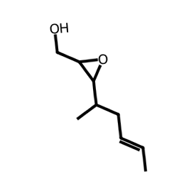 CC=CCC(C)C1OC1CO